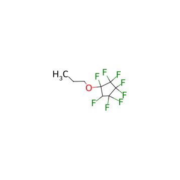 CCCOC1(F)C(F)C(F)(F)C(F)(F)C1(F)F